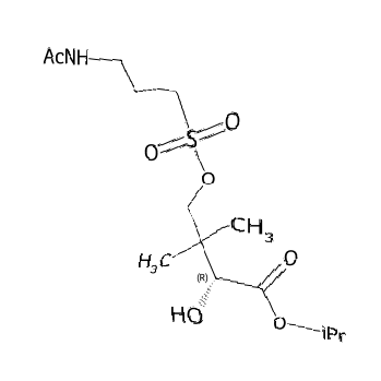 CC(=O)NCCCS(=O)(=O)OCC(C)(C)[C@@H](O)C(=O)OC(C)C